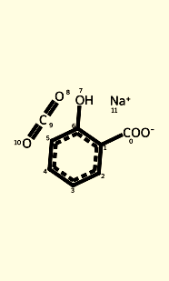 O=C([O-])c1ccccc1O.O=C=O.[Na+]